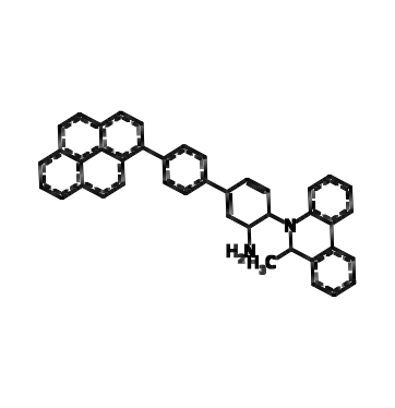 CC1c2ccccc2-c2ccccc2N1C1C=CC(c2ccc(-c3ccc4ccc5cccc6ccc3c4c56)cc2)=CC1N